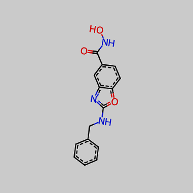 O=C(NO)c1ccc2oc(NCc3ccccc3)nc2c1